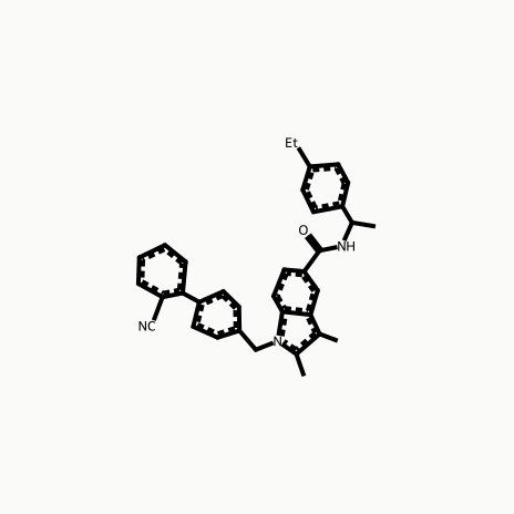 CCc1ccc(C(C)NC(=O)c2ccc3c(c2)c(C)c(C)n3Cc2ccc(-c3ccccc3C#N)cc2)cc1